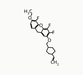 C=CC1CCC(COc2cc3c(c(F)c2F)Oc2c(ccc(OCC)c2F)C3)CC1